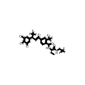 CC[C@@H](NC(=O)c1ccc(/C(F)=C/C(c2cc(Cl)c(Cl)c(Cl)c2)C(F)(F)F)cc1C(F)(F)F)C(=O)NCC(F)(F)F